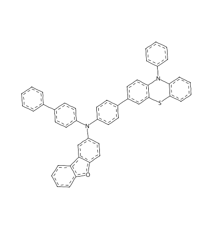 c1ccc(-c2ccc(N(c3ccc(-c4ccc5c(c4)Sc4ccccc4N5c4ccccc4)cc3)c3ccc4oc5ccccc5c4c3)cc2)cc1